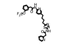 O=C(Cc1cccc(OC(F)(F)F)c1)Nc1ccc(CCCCc2nnc(NC(=O)Cc3ccccn3)s2)cn1